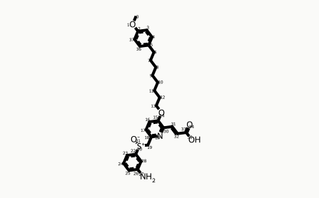 COc1ccc(CCCCCCCCOc2ccc(C[S+]([O-])c3cccc(N)c3)nc2/C=C/C(=O)O)cc1